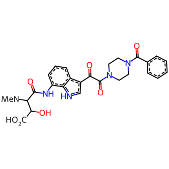 CNC(C(=O)Nc1cccc2c(C(=O)C(=O)N3CCN(C(=O)c4ccccc4)CC3)c[nH]c12)C(O)C(=O)O